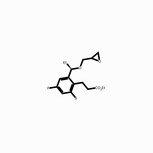 CCOC(=O)CCc1c(F)cc(F)cc1[C@@H](CC)OCC1CO1